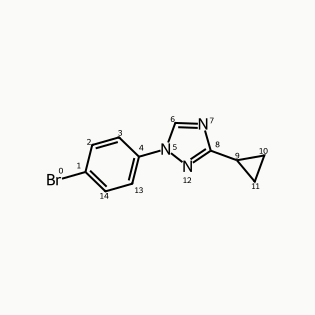 Brc1ccc(-n2cnc(C3CC3)n2)cc1